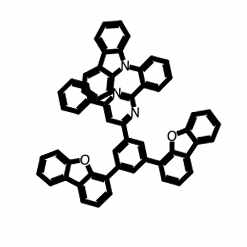 c1ccc(-c2cc(-c3cc(-c4cccc5c4oc4ccccc45)cc(-c4cccc5c4oc4ccccc45)c3)nc(-c3ccccc3-n3c4ccccc4c4ccccc43)n2)cc1